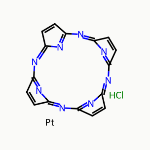 C1=C/C2=N/C3=NC(=N\C4=NC(=N\C5=NC(=N\C1=N2)/C=C5)/C=C4)/C=C3.Cl.[Pt]